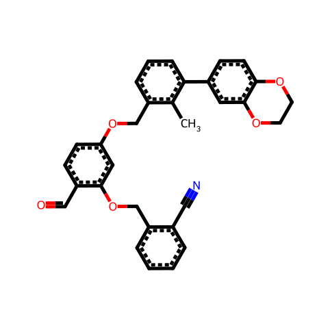 Cc1c(COc2ccc(C=O)c(OCc3ccccc3C#N)c2)cccc1-c1ccc2c(c1)OCCO2